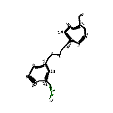 Cc1ccc(C[CH]c2cccc(F)c2)cc1